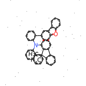 CC1(C)c2ccccc2-c2cccc(N(c3ccccc3-c3ccc4oc5ccccc5c4c3)c3cccc4ccccc34)c21